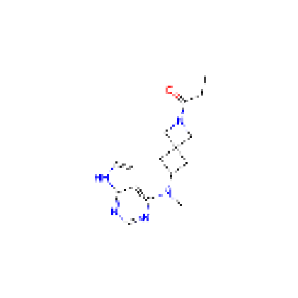 CCC(=O)N1CC2(CC(N(C)c3ncnc4[nH]ccc34)C2)C1